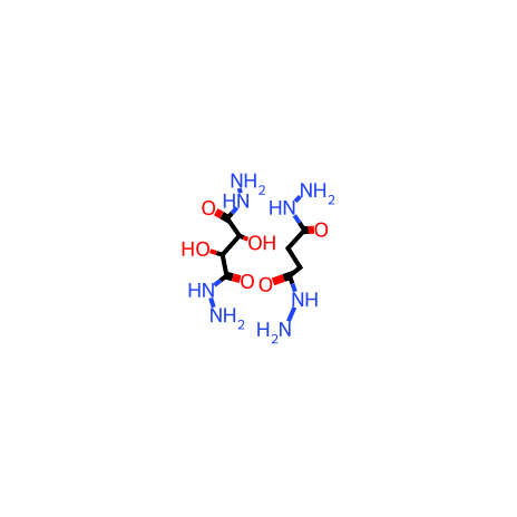 NNC(=O)C(O)C(O)C(=O)NN.NNC(=O)CCC(=O)NN